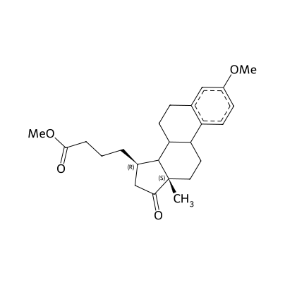 COC(=O)CCC[C@@H]1CC(=O)[C@@]2(C)CCC3c4ccc(OC)cc4CCC3C12